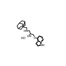 Cl.OC(CNCC12CC3CC(CC(C3)C1)C2)COc1cccc2[nH]ccc12